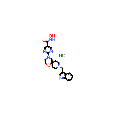 Cl.O=C(NO)c1cnc(N2CCOC3(CCN(Cc4c[nH]c5ccccc45)CC3)C2)nc1